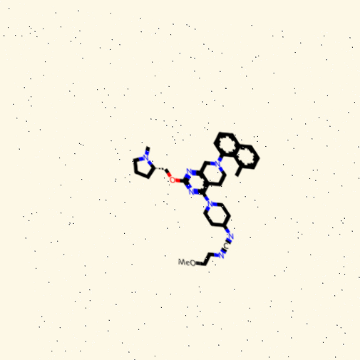 COCCN=C=NC1CCN(c2nc(OC[C@@H]3CCCN3C)nc3c2CCN(c2cccc4cccc(C)c24)C3)CC1